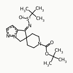 CC(C)(C)OC(=O)N1CCC2(CC1)Cn1nccc1C2=N[S+]([O-])C(C)(C)C